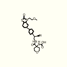 COCCn1c(=O)sc2ccc(-c3ccc(C(C#N)CNC(=O)C4(NC(=O)O)CCOCC4)cc3)cc21